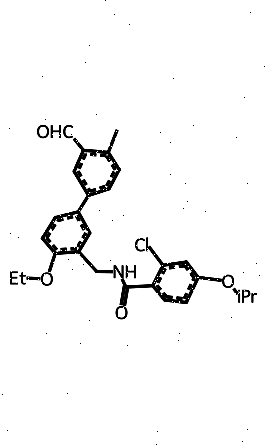 CCOc1ccc(-c2ccc(C)c(C=O)c2)cc1CNC(=O)c1ccc(OC(C)C)cc1Cl